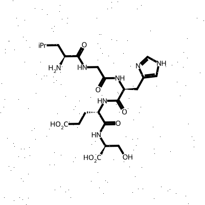 CC(C)C[C@H](N)C(=O)NCC(=O)N[C@@H](Cc1c[nH]cn1)C(=O)N[C@@H](CCC(=O)O)C(=O)N[C@@H](CO)C(=O)O